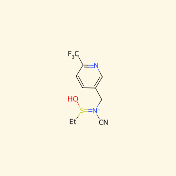 CCS(O)=[N+](C#N)Cc1ccc(C(F)(F)F)nc1